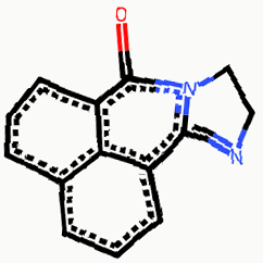 O=c1c2cccc3cccc(c4n1CCN=4)c32